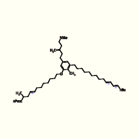 C=C(CCNC)CCc1cc(CCCCCCCCC/C=C/C=C/CCCC)c(C)c(OCCCCCCC/C=C/CC(C)CCCCC)c1